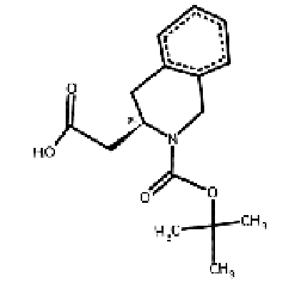 CC(C)(C)OC(=O)N1Cc2ccccc2C[C@@H]1CC(=O)O